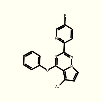 CC(=O)c1ccn2nc(-c3ccc(F)cn3)nc(Oc3ccccc3)c12